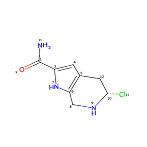 NC(=O)c1cc2c([nH]1)CN[C@@H](Cl)C2